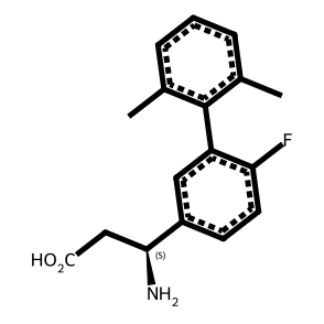 Cc1cccc(C)c1-c1cc([C@@H](N)CC(=O)O)ccc1F